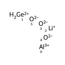 [Al+3].[GeH2+2].[Li+].[O-2].[O-2].[O-2]